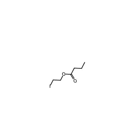 CCCC(=O)OCCI